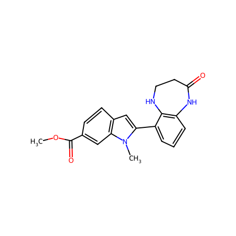 COC(=O)c1ccc2cc(-c3cccc4c3NCCC(=O)N4)n(C)c2c1